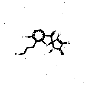 C=C1C(Cl)=C(Cl)C2(Oc3c(ccc(O)c3CCCC(C)CC)C2=O)N1C